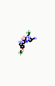 N#Cc1ccc(-n2nc3c(c2C(=O)NCCC(F)(F)F)C(=O)N[C@@]2(CCc4cc(OCC(F)(F)F)ccc42)C3)nc1